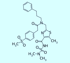 Cc1sc(CN(CCCc2ccccc2)C(=O)Cc2ccc(S(C)(=O)=O)cc2)nc1C(=O)NS(=O)(=O)N(C)C